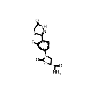 NC(=O)[C@H]1CN(c2ccc(C3=NNC(=O)CS3)c(F)c2)C(=O)O1